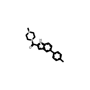 Cc1ccc(-c2ccc3[nH]c(C(=O)N4CCN(C)CC4)cc3c2)cc1